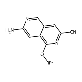 CC(C)Oc1nc(C#N)cc2cnc(N)cc12